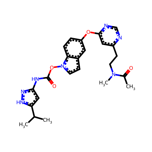 CC(=O)N(C)CCc1cc(Oc2ccc3c(ccn3OC(=O)Nc3cc(C(C)C)[nH]n3)c2)ncn1